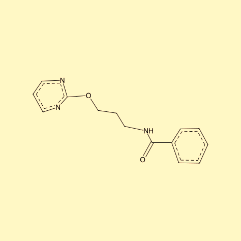 O=C(NCCCOc1ncccn1)c1ccccc1